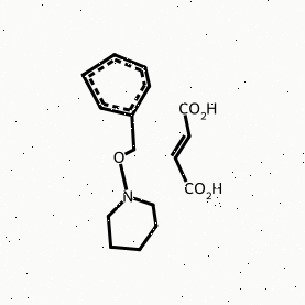 O=C(O)/C=C/C(=O)O.c1ccc(CON2CCCCC2)cc1